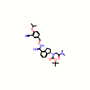 CC(C)Oc1ccc(CONC(=N)c2cccc3c2CC[C@@H]3N(CC(=O)N(C)C)C(=O)OC(C)(C)C)cc1C#N